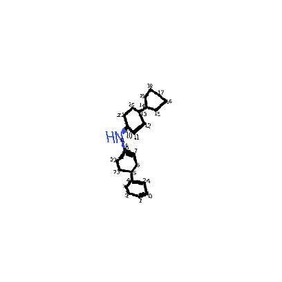 C1=CCCC(C2CC=C(NC3CCC(C4CCCCC4)CC3)CC2)=C1